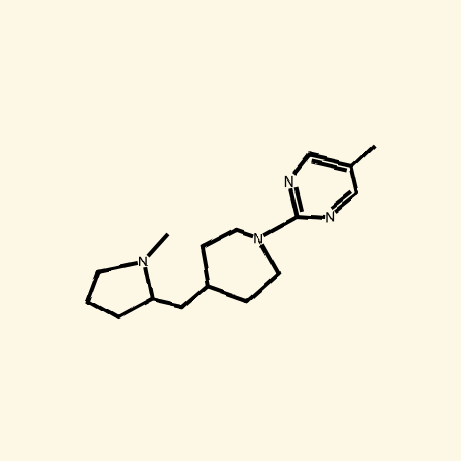 Cc1cnc(N2CCC(CC3CCCN3C)CC2)nc1